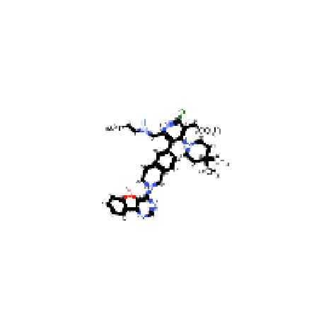 CSCCNCc1nc(Cl)c(CC(=O)O)c(N2CCC(C)(C)CC2)c1-c1ccc2c(c1)CCN(c1ncnc3c1oc1ccccc13)C2